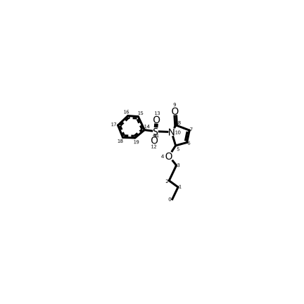 CCCCOC1C=CC(=O)N1S(=O)(=O)c1ccccc1